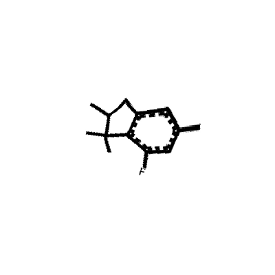 Cc1cc(F)c2c(c1)CC(C)C2(C)C